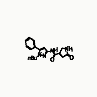 CCCCn1nc(NC(=O)C2CNC(=O)C2)cc1-c1ccccc1